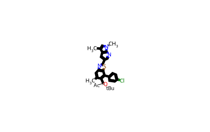 CC(=O)[C@@H](OC(C)(C)C)c1c(C)cc2nc(-c3cnc4c(c3)c(C)cn4C)sc2c1-c1ccc(Cl)cc1